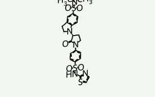 CN(C)S(=O)(=O)c1ccc2c(c1)CCN2[C@H]1CCN(c2ccc(S(=O)(=O)Nc3nccs3)cc2)C1=O